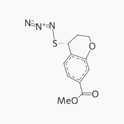 COC(=O)c1ccc2c(c1)OCC[C@H]2SN=[N+]=[N-]